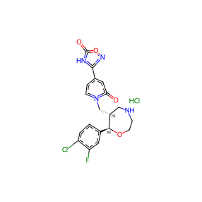 Cl.O=c1[nH]c(-c2ccn(C[C@@H]3CNCCO[C@H]3c3ccc(Cl)c(F)c3)c(=O)c2)no1